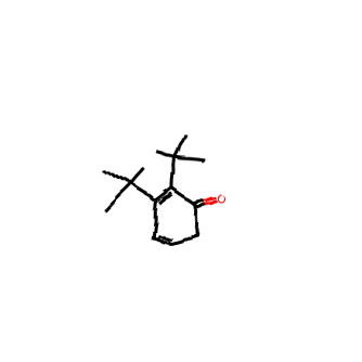 CC(C)(C)C1=C(C(C)(C)C)C(=O)CC=C1